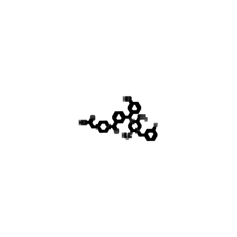 C[C@@H]1CN([C@@H](c2cccc(O)c2)c2cccc(C(=O)N3CCN(CC(=O)O)CC3)c2)[C@@H](C)CN1Cc1cccc(F)c1